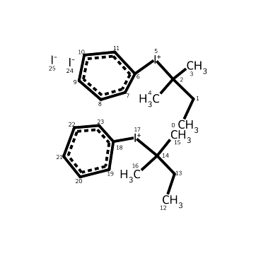 CCC(C)(C)[I+]c1ccccc1.CCC(C)(C)[I+]c1ccccc1.[I-].[I-]